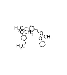 C=Cc1ccc(OC(C)(C)Cc2ccc(C=COC(C)OC3CCCCC3)cc2)cc1